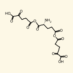 N[C@H](CCC(=O)OC(=O)CCC(=O)C(=O)O)C(=O)OC(=O)CCC(=O)C(=O)O